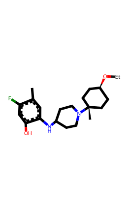 CCO[C@H]1CC[C@](C)(N2CCC(Nc3cc(C)c(F)cc3O)CC2)CC1